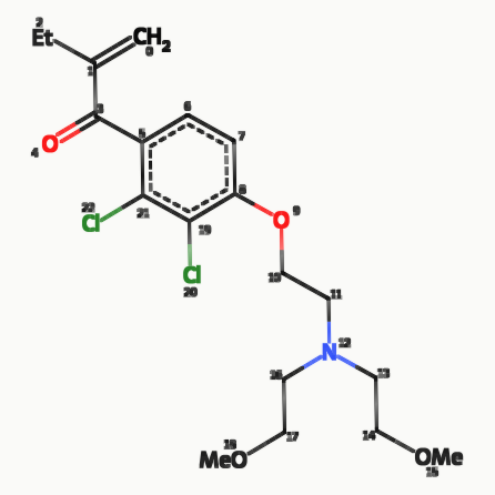 C=C(CC)C(=O)c1ccc(OCCN(CCOC)CCOC)c(Cl)c1Cl